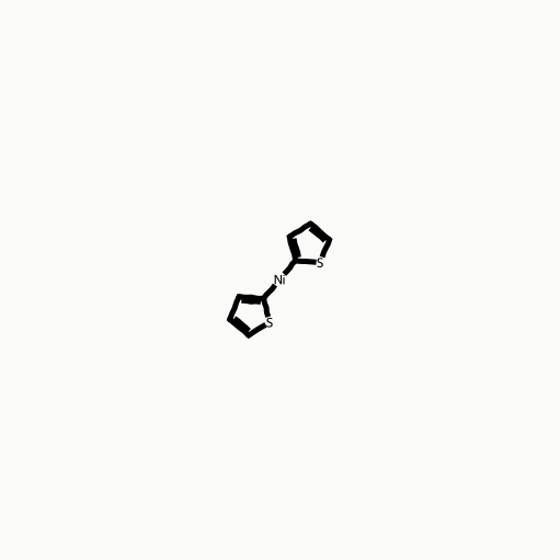 c1cs[c]([Ni][c]2cccs2)c1